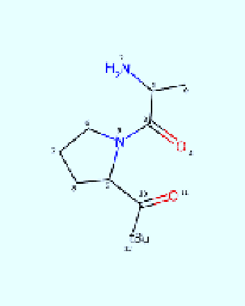 CC(N)C(=O)N1CCCC1C(=O)C(C)(C)C